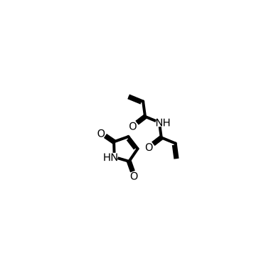 C=CC(=O)NC(=O)C=C.O=C1C=CC(=O)N1